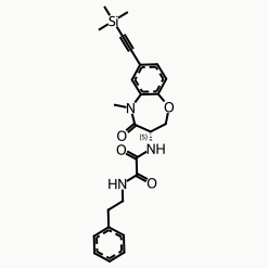 CN1C(=O)[C@@H](NC(=O)C(=O)NCCc2ccccc2)COc2ccc(C#C[Si](C)(C)C)cc21